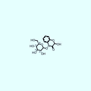 O=C1C(O)Oc2ccccc2N1OC1O[C@H](CO)[C@@H](O)[C@H](O)[C@H]1O